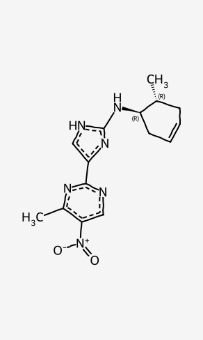 Cc1nc(-c2c[nH]c(N[C@@H]3CC=CC[C@H]3C)n2)ncc1[N+](=O)[O-]